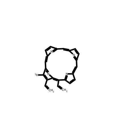 [2H]C1=C(C=C)C2=C(C=C)C3=NC(=CC4=NC(=CC5=NC(=CC1=N2)C=C5)C=C4)C=C3